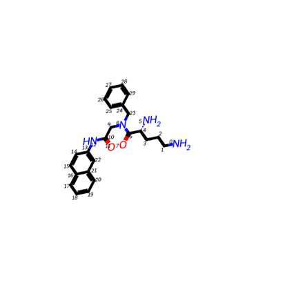 NCCC[C@@H](N)C(=O)N(CC(=O)Nc1ccc2ccccc2c1)Cc1ccccc1